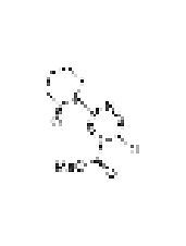 COC(=O)c1cc(N2CCCCC2=O)ncc1Cl